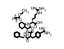 CCOC(=O)C(F)(F)F.N=C(N)NCCC[C@H](NC(=O)[C@@H](NC(=O)C(Cc1ccc(C(=N)N)cc1)C(=O)NCc1ccccc1)C1CCCCC1)C(=O)O